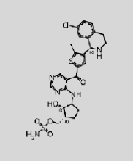 Cc1sc(C(=O)c2cncnc2NC2CC[C@H](COS(N)(=O)=O)[C@H]2O)cc1[C@@H]1NCCc2ccc(Cl)cc21